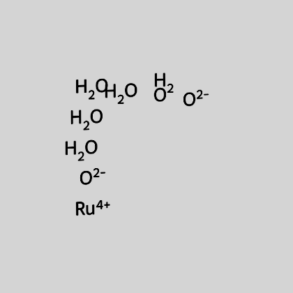 O.O.O.O.O.[O-2].[O-2].[Ru+4]